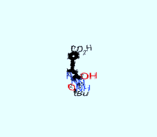 CC(C)(C)C(=O)Nc1nc(O)c2cc(C#Cc3ccc(C(=O)O)cc3)cnc2n1